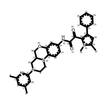 Cc1cc(C)nc(N2CCN3c4ccc(NC(=O)C(=O)c5c(-c6ccccc6)cc(C)n5C)cc4OCC3C2)c1